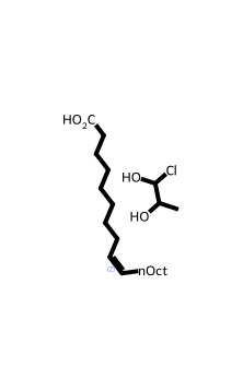 CC(O)C(O)Cl.CCCCCCCC/C=C\CCCCCCCC(=O)O